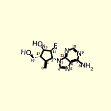 C=C1[C@@H](n2cnc3c(N)ncnc32)[C@H](F)[C@H](O)[C@H]1CO